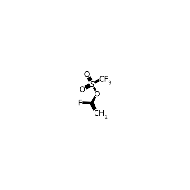 C=C(F)OS(=O)(=O)C(F)(F)F